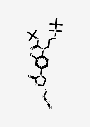 CC(C)(C)OC(=O)N(CCO[Si](C)(C)C(C)(C)C)c1ccc(N2C[C@H](CN=[N+]=[N-])OC2=O)cc1F